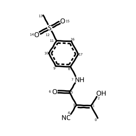 CC(O)=C(C#N)C(=O)Nc1ccc(S(C)(=O)=O)cc1